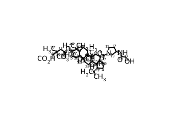 C=C(C)[C@@H]1CC[C@]2(CC(=O)N3CC[C@@H](NC(=O)CO)C3)CC[C@]3(C)[C@H](CC[C@@H]4[C@@]5(C)CC[C@H](OC(=O)CC(C)(C)CC(=O)O)C(C)(C)C5CC[C@]43C)[C@@H]12